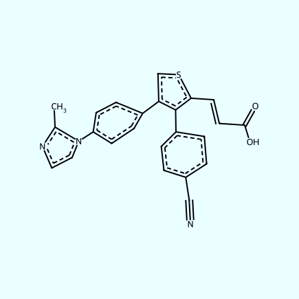 Cc1nccn1-c1ccc(-c2csc(C=CC(=O)O)c2-c2ccc(C#N)cc2)cc1